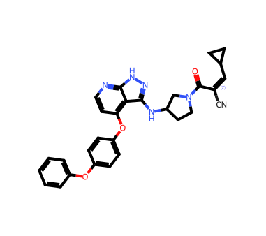 N#C/C(=C/C1CC1)C(=O)N1CCC(Nc2n[nH]c3nccc(Oc4ccc(Oc5ccccc5)cc4)c23)C1